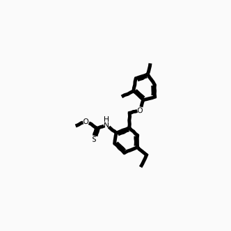 CCc1ccc(NC(=S)OC)c(COc2ccc(C)cc2C)c1